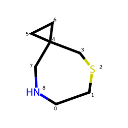 C1CSCC2(CC2)CN1